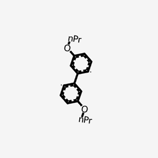 CCCOc1cc[c]c(-c2[c]ccc(OCCC)c2)c1